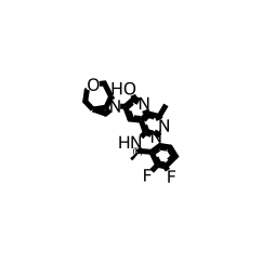 Cc1nnc(N[C@H](C)c2cccc(F)c2F)c2cc(N3CC4CCOCC3C4)c(O)nc12